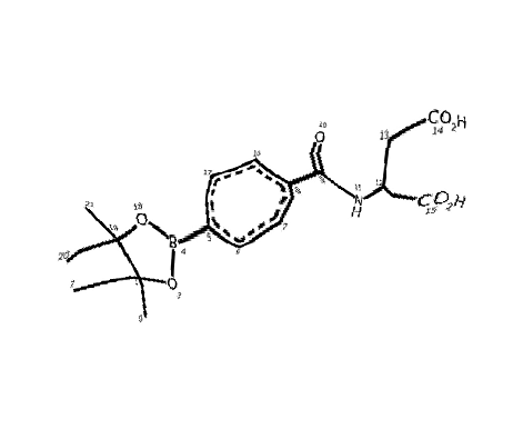 CC1(C)OB(c2ccc(C(=O)NC(CC(=O)O)C(=O)O)cc2)OC1(C)C